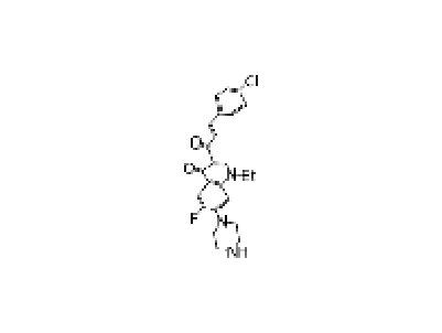 CCn1cc(C(=O)/C=C/c2ccc(Cl)cc2)c(=O)c2cc(F)c(N3CCNCC3)cc21